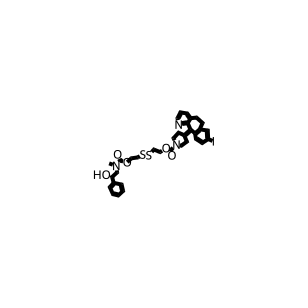 CN(C[C@@H](O)c1ccccc1)C(=O)OCCSSCCOC(=O)N1CCC(=C2c3ccc(I)cc3CCc3cccnc32)CC1